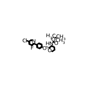 CC(C)(C)OC(=O)N[C@H]1CCCO[C@@H]1COc1ccc(-c2ncc(Cl)cc2F)cc1